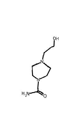 NC(=O)N1CCN(CCO)CC1